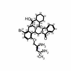 CN(N)/C=C(\N)COc1ccc(Br)c2c1C(CN1Cc3ccccc3C1=O)N(C(=O)C1CCCCC1C(=O)O)CC2